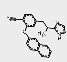 CC(Cc1ccc(C#N)c(Oc2ccc3ccccc3c2)c1)c1ncc[nH]1